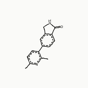 Cc1ccc(-c2ccc3c(c2)CNC3=O)c(C)n1